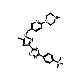 Cc1cc(-c2nc(-c3ccc([Si](C)(C)C)cc3)no2)nn1Cc1ccc(N2CCNCC2)nc1